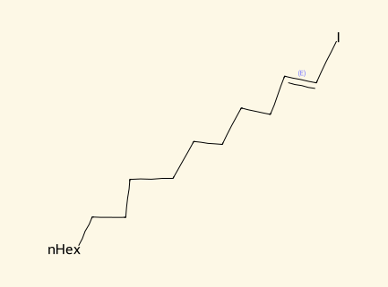 CCCCCCCCCCCCCC/C=C/I